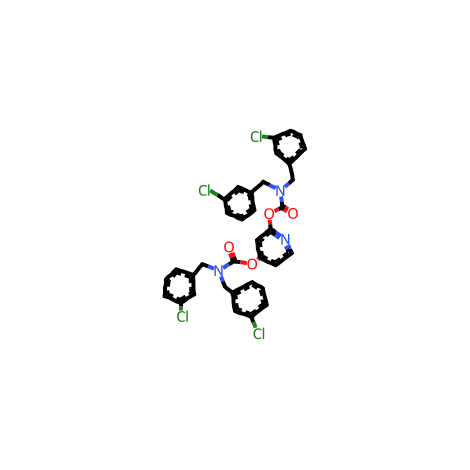 O=C(Oc1ccnc(OC(=O)N(Cc2cccc(Cl)c2)Cc2cccc(Cl)c2)c1)N(Cc1cccc(Cl)c1)Cc1cccc(Cl)c1